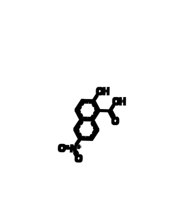 O=C(O)c1c(O)ccc2cc([N+](=O)[O-])ccc12